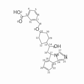 O=C(O)c1cccc(COC2CCC(C(O)CC3c4ccccc4-c4cncn43)CC2)c1